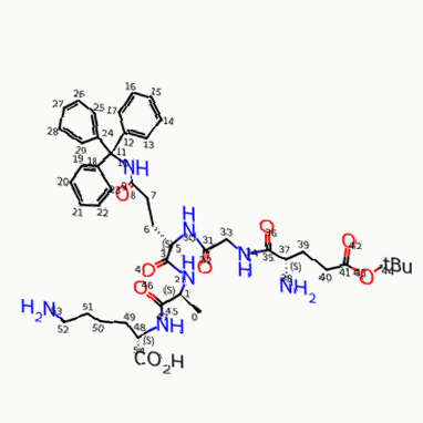 C[C@H](NC(=O)[C@H](CCC(=O)NC(c1ccccc1)(c1ccccc1)c1ccccc1)NC(=O)CNC(=O)[C@@H](N)CCC(=O)OC(C)(C)C)C(=O)N[C@@H](CCCCN)C(=O)O